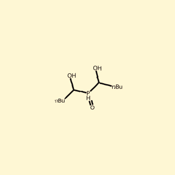 CCCCC(O)[PH](=O)C(O)CCCC